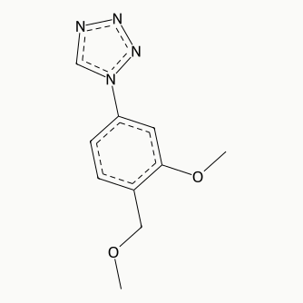 COCc1ccc(-n2cnnn2)cc1OC